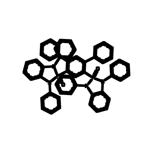 O=P1(c2cc(P3(=O)N(c4ccccc4)c4ccccc4N3c3ccccc3)c(-c3ccccc3)cc2-c2ccccc2)N(c2ccccc2)c2ccccc2N1c1ccccc1